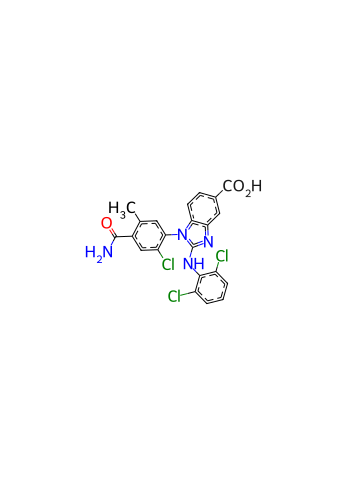 Cc1cc(-n2c(Nc3c(Cl)cccc3Cl)nc3cc(C(=O)O)ccc32)c(Cl)cc1C(N)=O